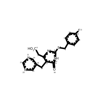 O=C(O)Cc1nc(SCc2ccc(F)cc2)[nH]c(=O)c1Cc1cncnc1